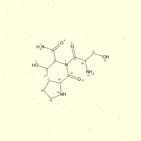 CC(O)C(C(N)=O)N(C(=O)C(N)CO)C(=O)C1CCCN1